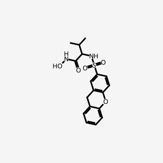 CC(C)C(NS(=O)(=O)c1ccc2c(c1)Cc1ccccc1O2)C(=O)NO